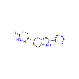 O=C1CCC(c2ccc3[nH]c(-c4ccncc4)cc3c2)=NN1